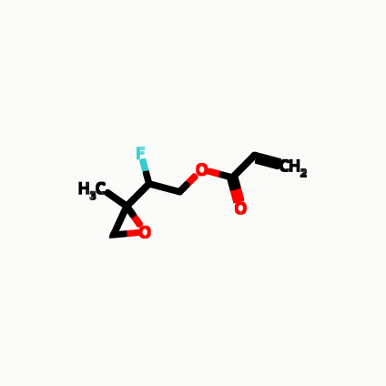 C=CC(=O)OCC(F)C1(C)CO1